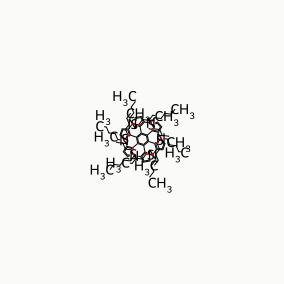 CCCCCN(CCCCC)c1ccsc1-c1c(-c2sccc2N(CCCCC)CCCCC)c(-c2sccc2N(CCCCC)CCCCC)c(-c2sccc2N(CCCCC)CCCCC)c(-c2sccc2N(CCCCC)CCCCC)c1-c1sccc1N(CCCCC)CCCCC